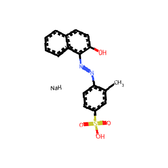 Cc1cc(S(=O)(=O)O)ccc1N=Nc1c(O)ccc2ccccc12.[NaH]